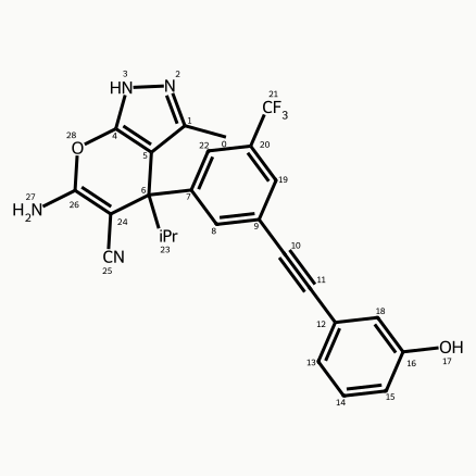 Cc1n[nH]c2c1C(c1cc(C#Cc3cccc(O)c3)cc(C(F)(F)F)c1)(C(C)C)C(C#N)=C(N)O2